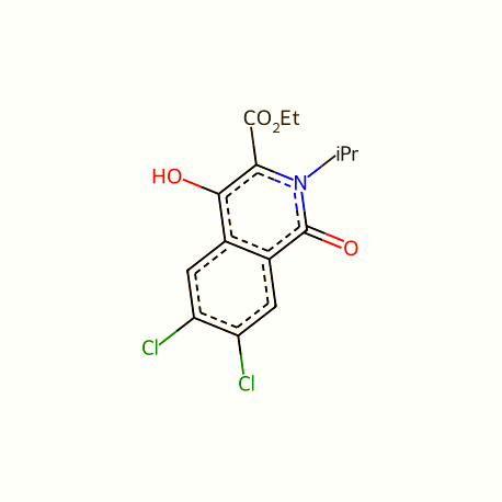 CCOC(=O)c1c(O)c2cc(Cl)c(Cl)cc2c(=O)n1C(C)C